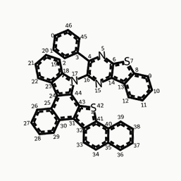 c1ccc(-c2nc3sc4ccccc4c3nc2-n2c3ccccc3c3c4ccccc4c4c5ccc6ccccc6c5sc4c32)cc1